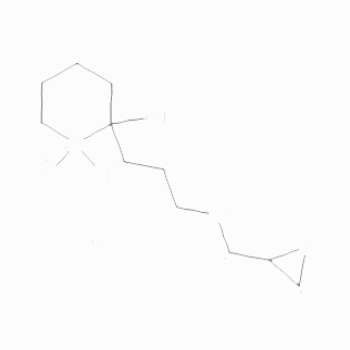 CC1(CCCOCC2CO2)CCCC[Si]1(C)C.O